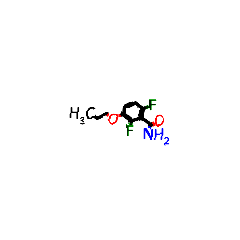 CCCOc1ccc(F)c(C(N)=O)c1F